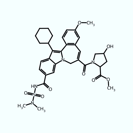 COC(=O)C1CC(O)CN1C(=O)C1=Cc2cc(OC)ccc2-c2c(C3CCCCC3)c3ccc(C(=O)NS(=O)(=O)N(C)C)cc3n2C1